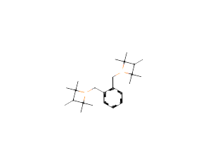 CC1C(C)(C)P(Cc2ccccc2CP2C(C)(C)C(C)C2(C)C)C1(C)C